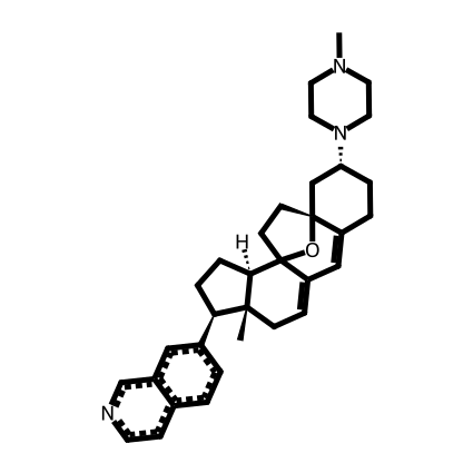 CN1CCN([C@@H]2CCC3=CC4=CC[C@]5(C)[C@@H](c6ccc7ccncc7c6)CC[C@H]5C45CC[C@]3(C2)O5)CC1